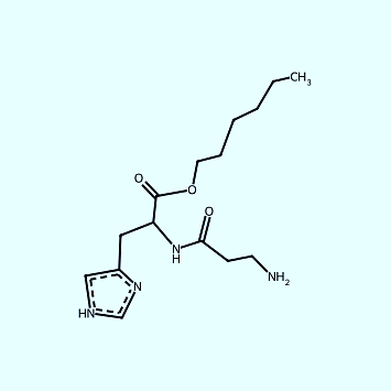 CCCCCCOC(=O)C(Cc1c[nH]cn1)NC(=O)CCN